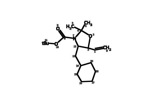 C=CC1OC(C)(C)N(C(=O)OC(C)(C)C)C1CC1CCCCC1